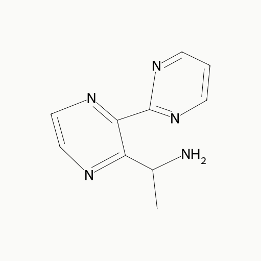 CC(N)c1nccnc1-c1ncccn1